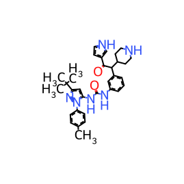 Cc1ccc(-n2nc(C(C)(C)C)cc2NC(=O)Nc2cccc(C(C(=O)c3cc[nH]c3)C3CCNCC3)c2)cc1